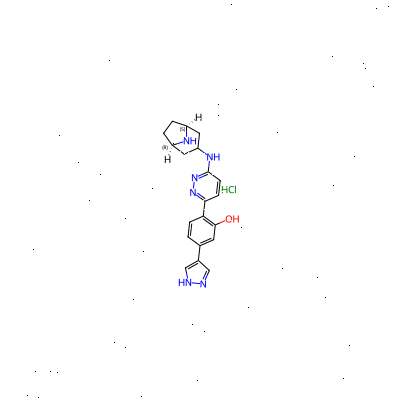 Cl.Oc1cc(-c2cn[nH]c2)ccc1-c1ccc(NC2C[C@H]3CC[C@@H](C2)N3)nn1